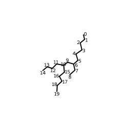 CCCCCCC(CC)CC(CCCC)CCCCC